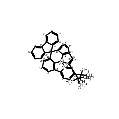 CC(C)(C)c1ccc2[n+](c1)[N+]13c4c-2cccc4C2(c4ccccc4-c4ccccc42)c2cccc(c21)-c1ccc(C(C)(C)C)c[n+]13